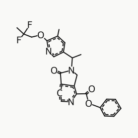 Cc1cc(C(C)N2Cc3c(ccnc3C(=O)Oc3ccccc3)C2=O)cnc1OCC(C)(F)F